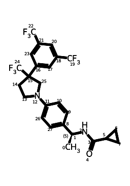 C[C@H](NC(=O)C1CC1)c1ccc(N2CCC(c3cc(C(F)(F)F)cc(C(F)(F)F)c3)(C(F)(F)F)C2)cc1